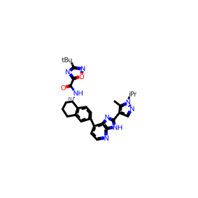 Cc1c(-c2nc3c(-c4ccc5c(c4)CCC[C@@H]5NC(=O)c4nc(C(C)(C)C)no4)ccnc3[nH]2)cnn1C(C)C